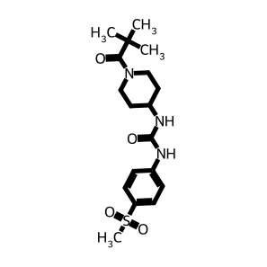 CC(C)(C)C(=O)N1CCC(NC(=O)Nc2ccc(S(C)(=O)=O)cc2)CC1